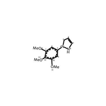 COc1cc(N2CC=CN2)cc(OC)c1OC